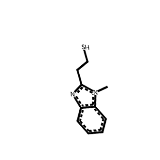 Cn1c(CCS)nc2ccccc21